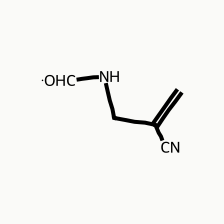 C=C(C#N)CN[C]=O